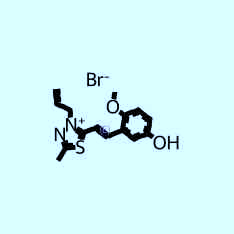 C=CC[n+]1nc(C)sc1/C=C/c1cc(O)ccc1OC.[Br-]